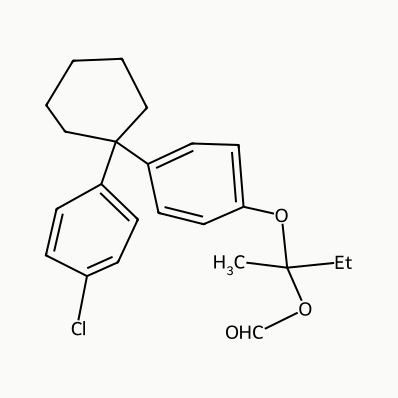 CCC(C)(OC=O)Oc1ccc(C2(c3ccc(Cl)cc3)CCCCC2)cc1